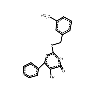 N#Cc1c(-c2ccncc2)nc(SCc2cccc(C(=O)O)c2)[nH]c1=O